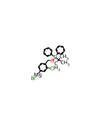 CC(C)(C)[Si](OCc1cc[c]([Mg][Br])cc1Cl)(c1ccccc1)c1ccccc1